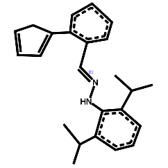 CC(C)c1cccc(C(C)C)c1N/N=C/c1ccccc1C1=CC=CC1